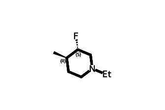 CCN1CC[C@@H](C)[C@H](F)C1